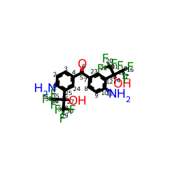 Nc1ccc(C(=O)c2ccc(N)c(C(O)(C(F)(F)F)C(F)(F)F)c2)cc1C(O)(C(F)(F)F)C(F)(F)F